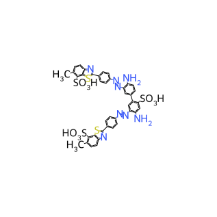 Cc1ccc2nc(-c3ccc(N=Nc4cc(-c5cc(N=Nc6ccc(-c7nc8ccc(C)c(S(=O)(=O)O)c8s7)cc6)c(N)cc5S(=O)(=O)O)ccc4N)cc3)sc2c1S(=O)(=O)O